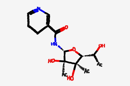 CC(=O)C(O)[C@H]1O[C@@H](NC(=O)C2=CN=CCC2)[C@@](O)(C(C)=O)[C@@]1(O)C(C)=O